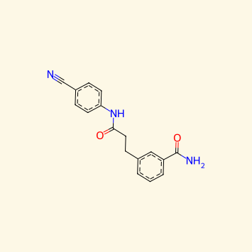 N#Cc1ccc(NC(=O)CCc2cccc(C(N)=O)c2)cc1